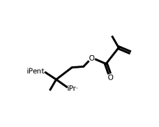 [CH2]CCC(C)C(C)(CCOC(=O)C(=C)C)[C](C)C